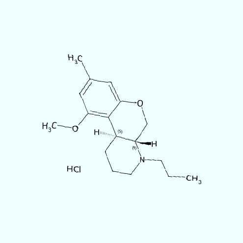 CCCN1CCC[C@H]2c3c(OC)cc(C)cc3OC[C@@H]21.Cl